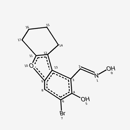 O/N=C/c1c(O)c(Br)cc2oc3c(c12)CCCC3